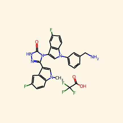 Cn1cc(-c2n[nH]c(=O)n2-c2cn(-c3cccc(CN)c3)c3ccc(F)cc23)c2cc(F)ccc21.O=C(O)C(F)(F)F